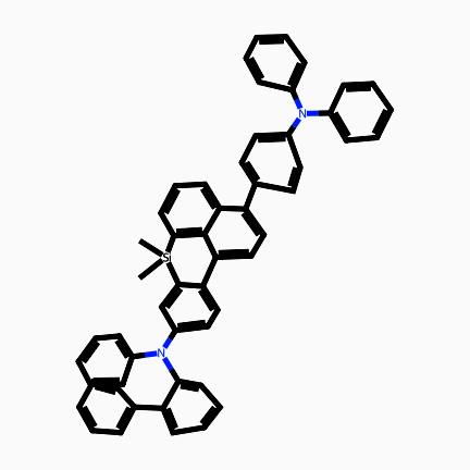 C[Si]1(C)c2cc(N(c3ccccc3)c3ccccc3-c3ccccc3)ccc2-c2ccc(-c3ccc(N(c4ccccc4)c4ccccc4)cc3)c3cccc1c23